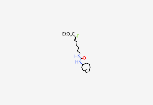 CCOC(=O)/C(F)=C/CCCCCNC(=O)NC1CCCCCCC1